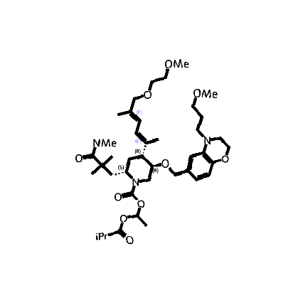 CNC(=O)C(C)(C)C[C@@H]1C[C@H](/C(C)=C/C=C(\C)COCCOC)[C@@H](OCc2ccc3c(c2)N(CCCOC)CCO3)CN1C(=O)OC(C)OC(=O)C(C)C